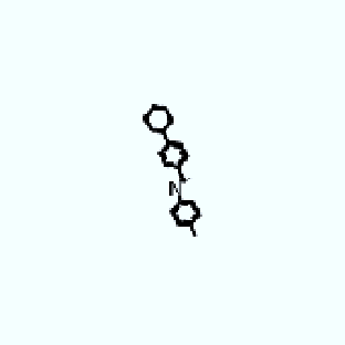 Cc1ccc(N=[C]c2ccc(C3CCCCC3)cc2)cc1